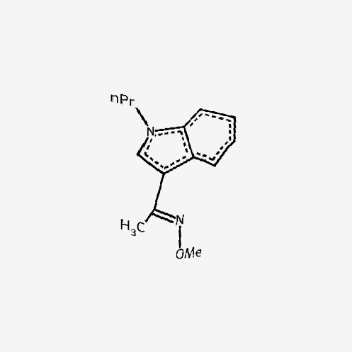 CCCn1cc(C(C)=NOC)c2ccccc21